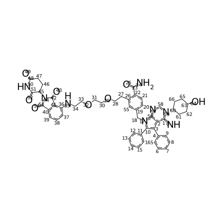 N=c1c2c(-c3ccccc3)c(-c3ccccc3)n(Cc3ccc(C(N)=O)c(CCOCCOCCNc4cccc5c4C(=O)N(C4CCC(=O)NC4=O)C5=O)c3)c2ncn1[C@H]1CC[C@H](O)CC1